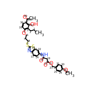 CCCc1c(OCCCSc2nc3ccc(NC(=O)CC(=O)OCc4ccc(OC)cc4)cc3s2)ccc(C(C)=O)c1O